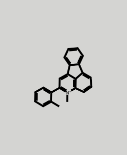 Cc1ccccc1-c1cc2c3c(cccc3[n+]1C)-c1ccccc1-2